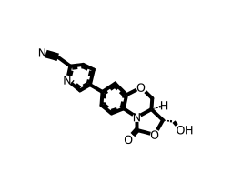 N#Cc1ccc(-c2ccc3c(c2)OC[C@H]2[C@H](CO)OC(=O)N32)cn1